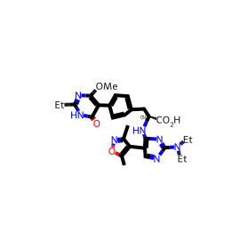 CCc1nc(OC)c(-c2ccc(C[C@H](Nc3nc(N(CC)CC)ncc3-c3c(C)noc3C)C(=O)O)cc2)c(=O)[nH]1